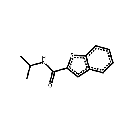 CC(C)NC(=O)c1cc2ccccc2s1